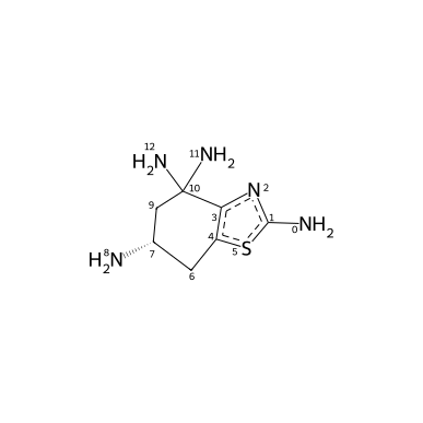 Nc1nc2c(s1)C[C@H](N)CC2(N)N